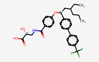 CCCC(CC)C[C@H](Oc1ccc(C(=O)NC[C@@H](O)C(=O)O)cc1)c1ccc(-c2ccc(C(F)(F)F)cc2)cc1